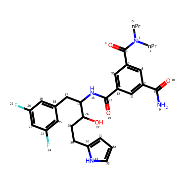 CCCN(CCC)C(=O)c1cc(C(N)=O)cc(C(=O)NC(Cc2cc(F)cc(F)c2)C(O)CCc2ccc[nH]2)c1